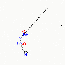 CCC=CCC=CCC=CCC=CCC=CCCCC(=O)NCCN(C)CCNC(=O)CC=Cc1ccc(C)nc1